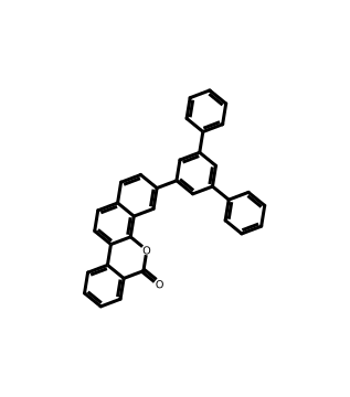 O=c1oc2c3cc(-c4cc(-c5ccccc5)cc(-c5ccccc5)c4)ccc3ccc2c2ccccc12